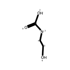 O=C(O)[N]CCO